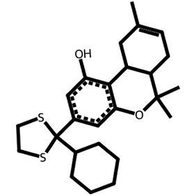 CC1=CCC2C(C1)c1c(O)cc(C3(C4CCCCC4)SCCS3)cc1OC2(C)C